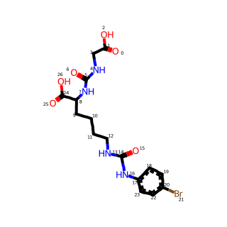 O=C(O)CNC(=O)NC(CCCCNC(=O)Nc1ccc(Br)cc1)C(=O)O